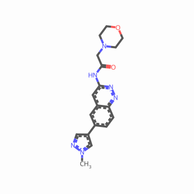 Cn1cc(-c2ccc3nnc(NC(=O)CN4CCOCC4)cc3c2)cn1